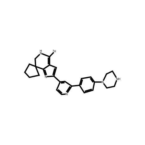 [2H]C1=C2C=C(c3ccnc(-c4ccc(N5CCNCC5)cc4)c3)N=C2C2(CCCC2)CN1